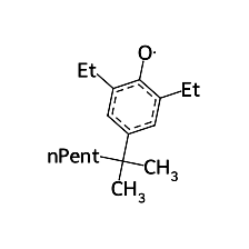 CCCCCC(C)(C)c1cc(CC)c([O])c(CC)c1